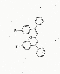 O=C(C=C(c1ccccc1)c1ccc(Br)cc1)C=C(c1ccccc1)c1ccc(Br)cc1